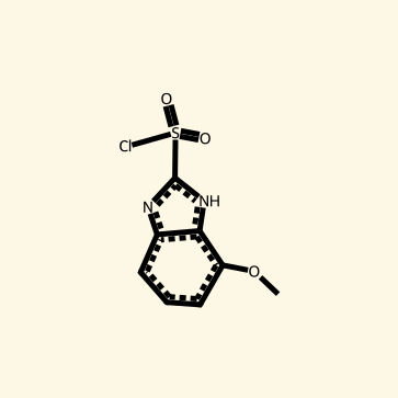 COc1cccc2nc(S(=O)(=O)Cl)[nH]c12